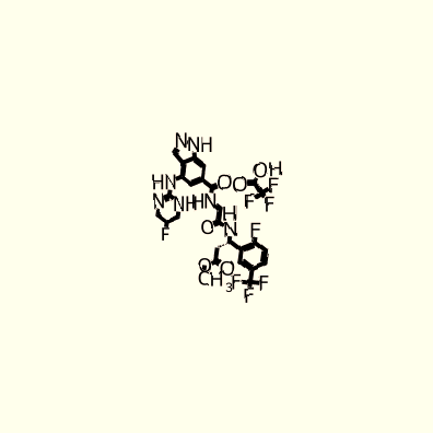 COC(=O)C[C@H](NC(=O)CNC(=O)c1cc(NC2=NCC(F)CN2)c2cn[nH]c2c1)c1cc(C(F)(F)F)ccc1F.O=C(O)C(F)(F)F